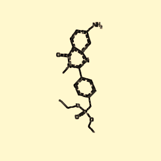 CCOP(=O)(Cc1ccc(-c2nc3cc(N)ccc3c(=O)n2C)cc1)OCC